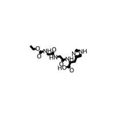 CCOC(=O)NCC(=O)NCC(=O)NC(Cc1c[nH]cn1)C(=O)O